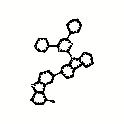 Brc1cccc2oc3ccc(-c4ccc5c6ccccc6n(-c6nc(-c7ccccc7)cc(-c7ccccc7)n6)c5c4)cc3c12